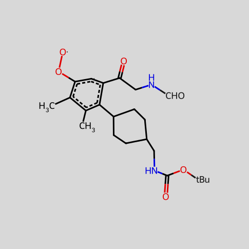 Cc1c(O[O])[c]c(C(=O)CNC=O)c(C2CCC(CNC(=O)OC(C)(C)C)CC2)c1C